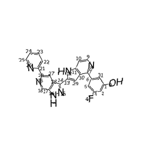 Oc1cc(F)cc(-c2nccc3[nH]c(-c4n[nH]c5cnc(-c6ccccn6)cc45)cc23)c1